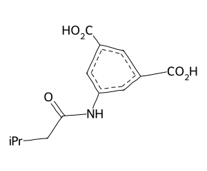 CC(C)CC(=O)Nc1cc(C(=O)O)cc(C(=O)O)c1